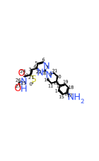 CS/C(=C\c1ccnc(N2CCC(c3ccc(N)cc3)CC2)n1)C(=O)NC=O